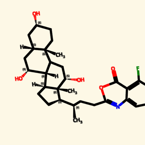 C[C@H](CCc1nc2cccc(F)c2c(=O)o1)[C@H]1CC[C@H]2[C@H]3C(C[C@H](O)[C@]12C)[C@@]1(C)CC[C@@H](O)C[C@H]1C[C@H]3O